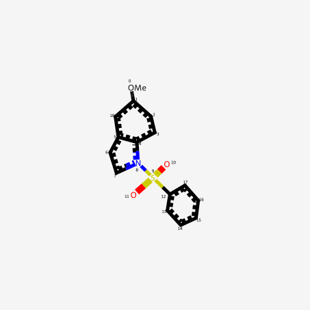 COc1ccc2c(ccn2S(=O)(=O)c2ccccc2)c1